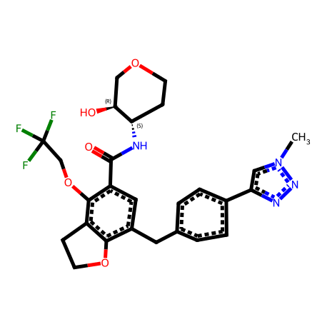 Cn1cc(-c2ccc(Cc3cc(C(=O)N[C@H]4CCOC[C@@H]4O)c(OCC(F)(F)F)c4c3OCC4)cc2)nn1